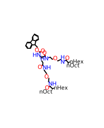 CCCCCCCCC(CCCCCC)C(=O)NCCOCCNC(=O)CC[C@H](NC(=O)OCC1c2ccccc2-c2ccccc21)C(=O)NCCOCCNC(=O)C(CCCCCC)CCCCCCCC